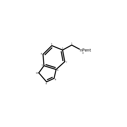 CCCCCCc1ccc2c(c1)C=CC2